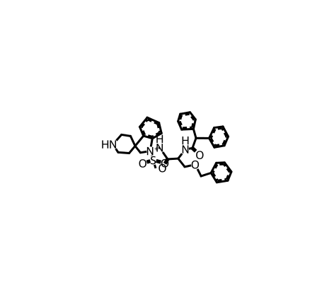 CS(=O)(=O)[N+]1(NC(=O)C(COCc2ccccc2)NC(=O)C(c2ccccc2)c2ccccc2)CC2(CCNCC2)c2ccccc21